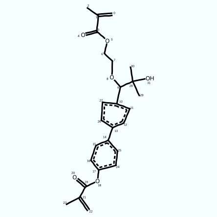 C=C(C)C(=O)OCCOC(c1ccc(-c2ccc(OC(=O)C(=C)C)cc2)cc1)C(C)(C)O